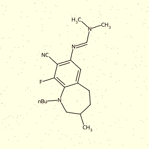 CCCCN1CC(C)CCc2cc(/N=C/N(C)C)c(C#N)c(F)c21